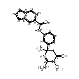 CN1C(=O)CC(C)(c2cccc(NC(=O)c3cc4cccn4cn3)c2)N=C1N